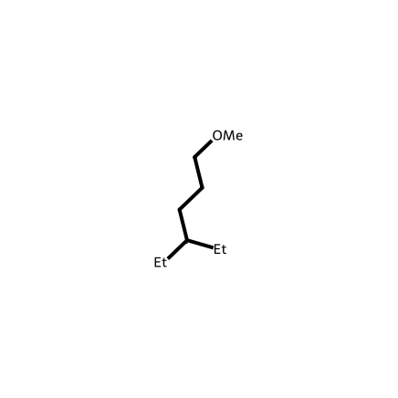 CC[C](CC)CCCOC